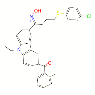 CCn1c2ccc(C(=O)c3ccccc3C)cc2c2cc(/C(CCCSc3ccc(Cl)cc3)=N/O)ccc21